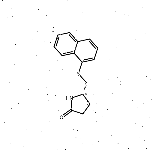 O=C1CC[C@@H](CSc2cccc3ccccc23)N1